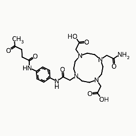 CC(=O)CCC(=O)Nc1ccc(NC(=O)CN2CCN(CC(=O)O)CCN(CC(N)=O)CCN(CC(=O)O)CC2)cc1